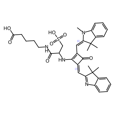 CN1/C(=C/C2=C(NC(CS(=O)(=O)O)C(=O)NCCCCC(=O)O)C(=C/C3=Nc4ccccc4C3(C)C)/C2=O)C(C)(C)c2ccccc21